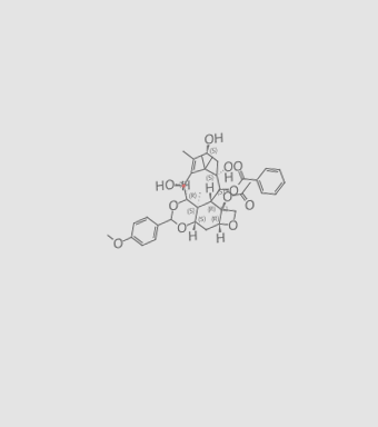 COc1ccc(C2O[C@H]3C[C@H]4OC[C@@]4(OC(C)=O)[C@H]4[C@H](OC(=O)c5ccccc5)[C@]5(O)C[C@H](O)C(C)=C([C@H](O)[C@H](O2)[C@]34C)C5(C)C)cc1